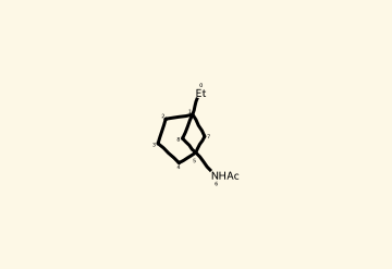 CCC12CCCC(NC(C)=O)(C1)C2